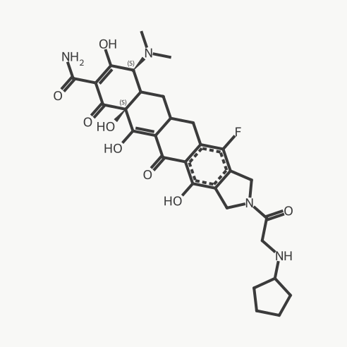 CN(C)[C@@H]1C(O)=C(C(N)=O)C(=O)[C@@]2(O)C(O)=C3C(=O)c4c(O)c5c(c(F)c4CC3CC12)CN(C(=O)CNC1CCCC1)C5